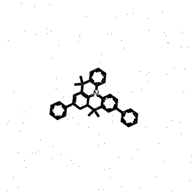 CC1(C)C2=C3C(CC(c4ccccc4)=C2)C(C)(C)c2cc(-c4ccccc4)ccc2N3c2ccccc21